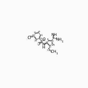 CSc1sc(C(=N)N)cc1NS(=O)(=O)c1cccc(Cl)c1